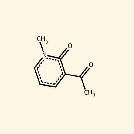 CC(=O)c1cccn(C)c1=O